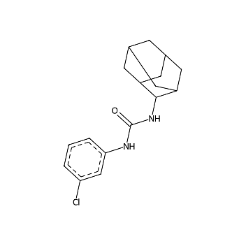 O=C(Nc1cccc(Cl)c1)NC1C2CC3CC(C2)CC1C3